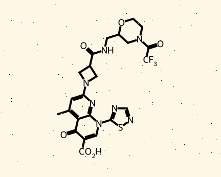 Cc1cc(N2CC(C(=O)NCC3CN(C(=O)C(F)(F)F)CCO3)C2)nc2c1c(=O)c(C(=O)O)cn2-c1ncns1